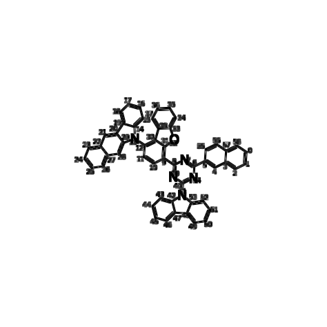 c1ccc2cc(-c3nc(-c4ccc(-n5c6ccccc6c6cc7ccccc7cc65)c5c4oc4ccccc45)nc(-n4c5ccccc5c5ccccc54)n3)ccc2c1